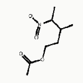 CC(=O)OCCC(C)C(C)[N+](=O)[O-]